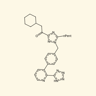 CCCCCc1nc(C(=O)CC2CCCCC2)nn1Cc1ccc(-c2cccnc2-c2nnn[nH]2)cc1